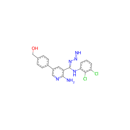 N=N/N=C(\Nc1cccc(Cl)c1Cl)c1cc(-c2ccc(CO)cc2)cnc1N